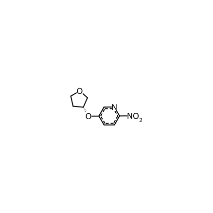 O=[N+]([O-])c1ccc(O[C@@H]2CCOC2)cn1